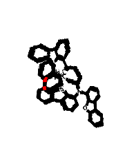 C=C(/C=C\C(=C/C)N(c1cccc2c1oc1ccccc12)c1cccc2c1sc1c(-c3ccccc3)cccc12)c1cccc2c3ccccc3n(-c3ccccc3)c12